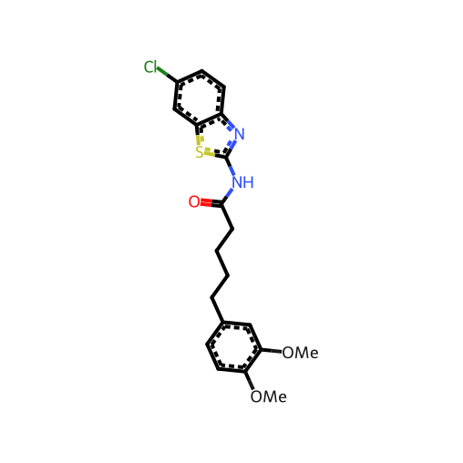 COc1ccc(CCCCC(=O)Nc2nc3ccc(Cl)cc3s2)cc1OC